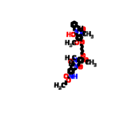 C=CCOC(=O)Nc1ccc2c(c1)CN1C(=O)c3cc(OC)c(OCCCCCOc4cc5c(cc4OC)C(O)N4Cc6ccccc6C[C@H]4C(=O)N5C)cc3N(C)C(=O)[C@@H]1C2